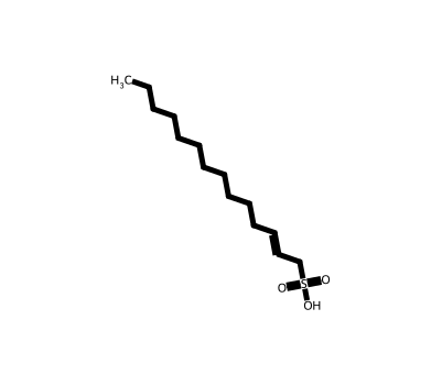 CCCCCCCCCCC/C=C/CS(=O)(=O)O